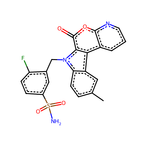 Cc1ccc2c(c1)c1c3cccnc3oc(=O)c1n2Cc1cc(S(N)(=O)=O)ccc1F